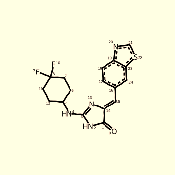 O=C1NC(NC2CCC(F)(F)CC2)=N/C1=C\c1ccc2ncsc2c1